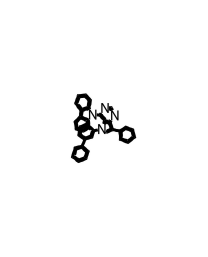 c1ccc(-c2cccc(-n3cc(-c4ccccc4)c4ncnc(-n5c6ccccc6c6ccccc65)c43)c2)cc1